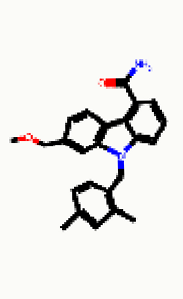 COCc1c[c]c2c3c(C(N)=O)cccc3n(Cc3ccc(C)cc3C)c2c1